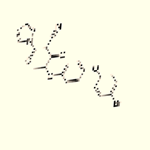 CC(Oc1ccc(Oc2ccc(Br)cc2)cc1)C(=O)C(C#N)C(=O)n1cccc1